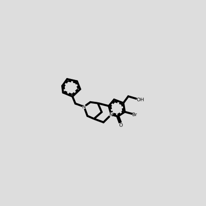 O=c1c(Br)c(CO)cc2n1CC1CC2CN(Cc2ccccc2)C1